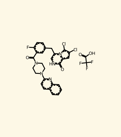 O=C(O)C(F)(F)F.O=C(c1cc(Cc2c[nH]c(=O)c3cc(Cl)c(Cl)n23)ccc1F)N1CCN(c2ccc3ccccc3n2)CC1